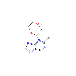 CCc1ncc2ncnc-2n1C1COCCO1